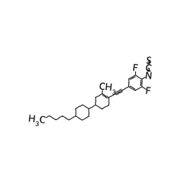 CCCCCC1CCC(C2CCC(C#Cc3cc(F)c(N=C=S)c(F)c3)=C(C)C2)CC1